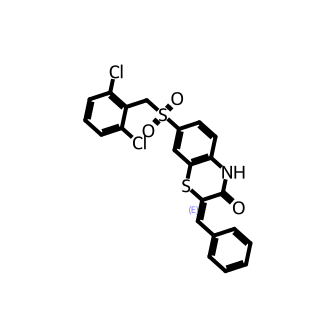 O=C1Nc2ccc(S(=O)(=O)Cc3c(Cl)cccc3Cl)cc2S/C1=C/c1ccccc1